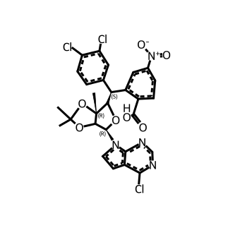 CC1(C)OC2[C@H](n3ccc4c(Cl)ncnc43)OC([C@@H](c3ccc(Cl)c(Cl)c3)c3cc([N+](=O)[O-])ccc3C(=O)O)[C@@]2(C)O1